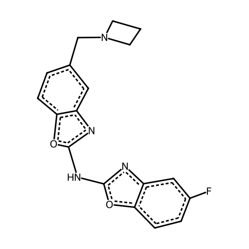 Fc1ccc2oc(Nc3nc4cc(CN5CCC5)ccc4o3)nc2c1